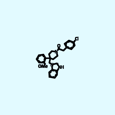 COc1ccccc1C1(CN2[CH]Nc3ccccc32)CCN(C(=O)Cc2ccc(Cl)cc2)CC1